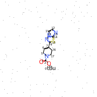 CC(C)(C)OC(=O)N1CC=C(c2nn3ccnc3s2)CC1